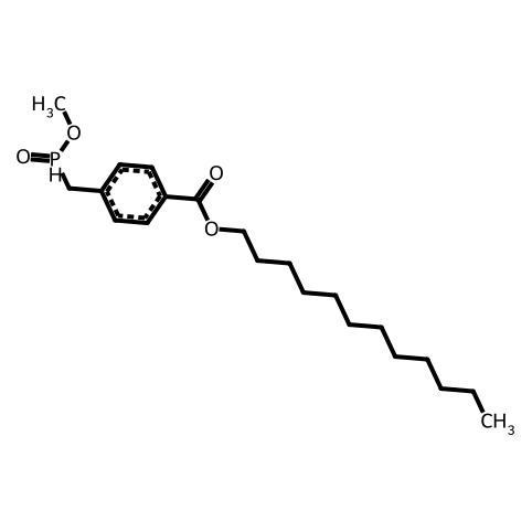 CCCCCCCCCCCCOC(=O)c1ccc(C[PH](=O)OC)cc1